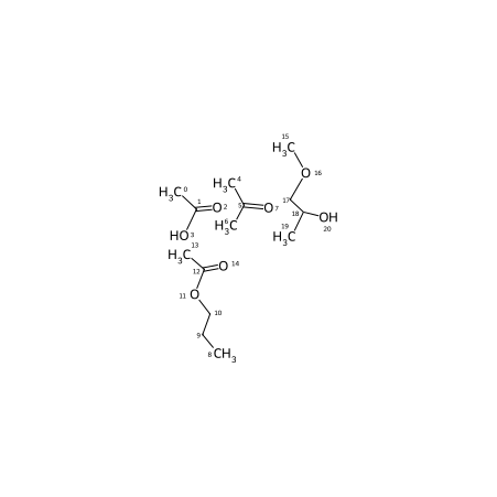 CC(=O)O.CC(C)=O.CCCOC(C)=O.COCC(C)O